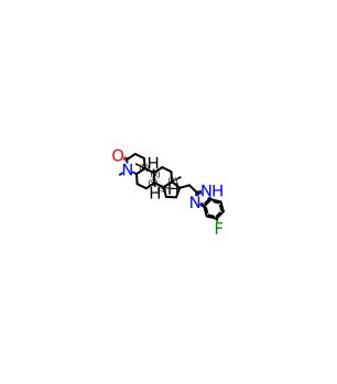 CN1C(=O)CC[C@@]2(C)C1CC[C@@H]1[C@H]2CC[C@]2(C)C(Cc3nc4cc(F)ccc4[nH]3)CC[C@@H]12